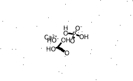 O=C(O)O.O=P([O-])(O)O.[Ca+2].[OH-]